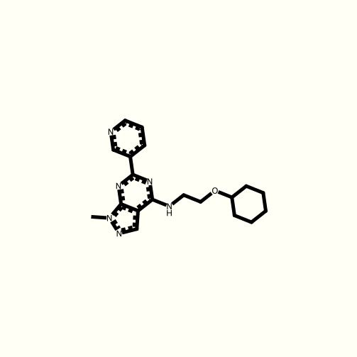 Cn1ncc2c(NCCOC3CCCCC3)nc(-c3cccnc3)nc21